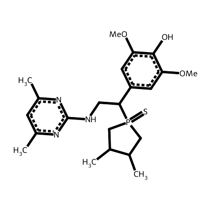 COc1cc(C(CNc2nc(C)cc(C)n2)P2(=S)CC(C)C(C)C2)cc(OC)c1O